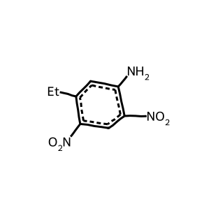 CCc1cc(N)c([N+](=O)[O-])cc1[N+](=O)[O-]